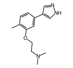 Cc1ccc(-c2cn[nH]c2)cc1OCCN(C)C